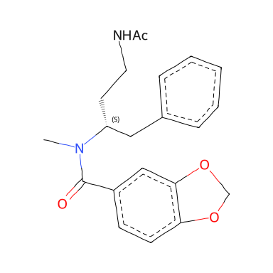 CC(=O)NCC[C@H](Cc1ccccc1)N(C)C(=O)c1ccc2c(c1)OCO2